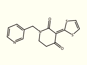 O=C1CCN(Cc2cccnc2)C(=O)C1=C1SC=CS1